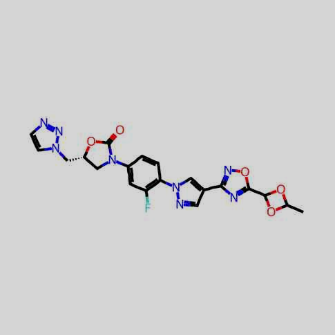 CC1OC(c2nc(-c3cnn(-c4ccc(N5C[C@H](Cn6ccnn6)OC5=O)cc4F)c3)no2)O1